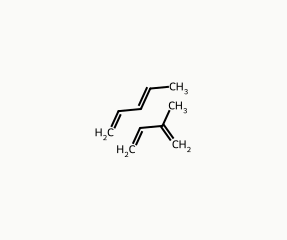 C=CC(=C)C.C=CC=CC